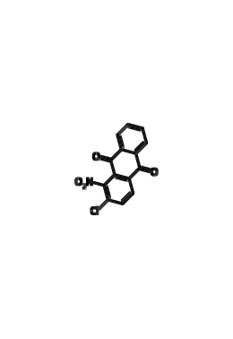 O=C1c2ccccc2C(=O)c2c1ccc(Cl)c2[N+](=O)[O-]